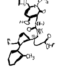 Cc1ccccc1-c1cc([C@H](CC(=O)O)NC(=O)Nc2c(O)cc(C)n(C)c2=O)ccc1F